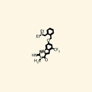 CCN(CC)Cc1ccccc1COc1cc(C(F)(F)F)c2cc(C(=O)N(C)C(=N)N)[nH]c2c1